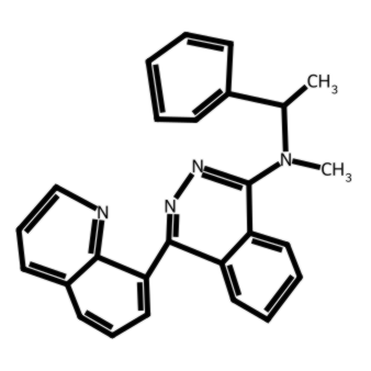 CC(c1ccccc1)N(C)c1nnc(-c2cccc3cccnc23)c2ccccc12